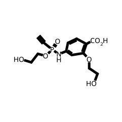 C#CP(=O)(Nc1ccc(C(=O)O)c(OCCO)c1)OCCO